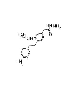 CN(C)c1ccc(CCc2ccc(CC(=O)NN)cc2)cn1.Cl.Cl.Cl